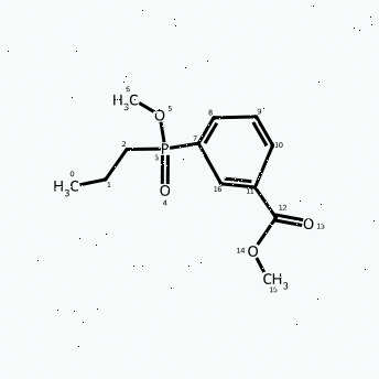 CCCP(=O)(OC)c1cccc(C(=O)OC)c1